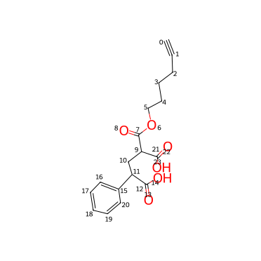 C#CCCCCOC(=O)C(CC(C(=O)O)c1ccccc1)C(=O)O